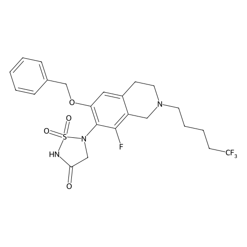 O=C1CN(c2c(OCc3ccccc3)cc3c(c2F)CN(CCCCC(F)(F)F)CC3)S(=O)(=O)N1